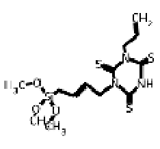 C=CCn1c(=S)[nH]c(=S)n(CC=CC[Si](OC)(OC)OC)c1=S